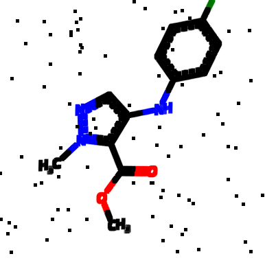 COC(=O)c1c(Nc2ccc(F)cc2)cnn1C